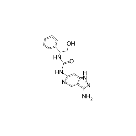 Nc1n[nH]c2cc(NC(=O)NC(CO)c3ccccc3)ncc12